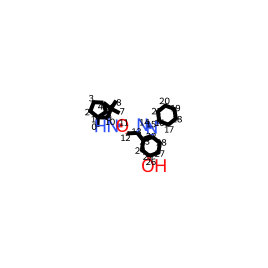 CC12CCC(C1)C(C)(C)C2NOCc1nn(C2CCCCC2)c2c1CC(O)CC2